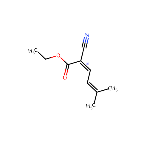 CCOC(=O)/C(C#N)=C\C=C(C)C